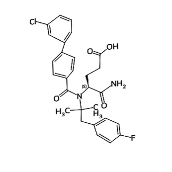 CC(C)(Cc1ccc(F)cc1)N(C(=O)c1ccc(-c2cccc(Cl)c2)cc1)[C@@H](CCC(=O)O)C(N)=O